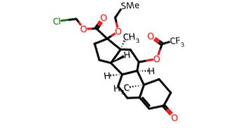 CSCOC1(C(=O)OCCl)CC[C@H]2[C@@H]3CCC4=CC(=O)CC[C@]4(C)[C@@H]3C(OC(=O)C(F)(F)F)C[C@@]21C